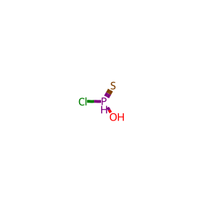 O[PH](=S)Cl